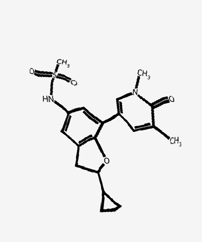 Cc1cc(-c2cc(NS(C)(=O)=O)cc3c2OC(C2CC2)C3)cn(C)c1=O